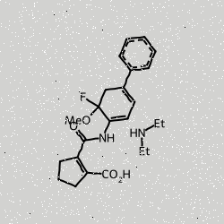 CCNCC.COC1(F)CC(c2ccccc2)=CC=C1NC(=O)C1=C(C(=O)O)CCC1